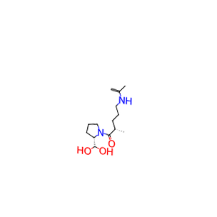 C=C(C)NCCC[C@H](C)C(=O)N1CCC[C@H]1C(O)O